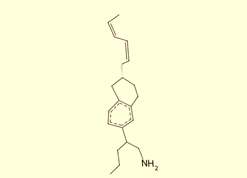 C/C=C\C=C/C[C@@H]1CCc2cc(C(CN)CCC)ccc2C1